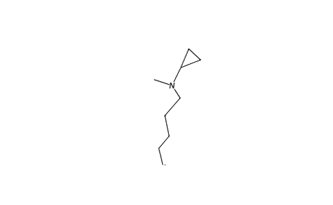 [CH2]CCCCN(C)C1CC1